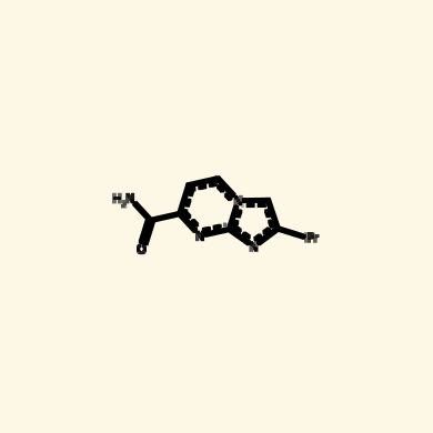 CC(C)c1cn2ccc(C(N)=O)nc2n1